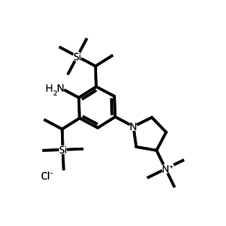 CC(c1cc(N2CCC([N+](C)(C)C)C2)cc(C(C)[Si](C)(C)C)c1N)[Si](C)(C)C.[Cl-]